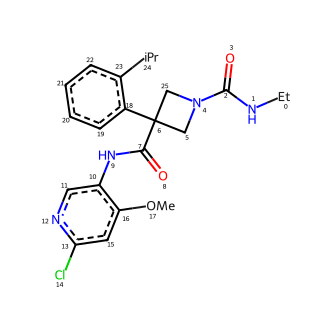 CCNC(=O)N1CC(C(=O)Nc2cnc(Cl)cc2OC)(c2ccccc2C(C)C)C1